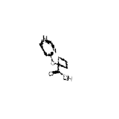 O=C(O)C1(Oc2ccn[c]n2)CCC1